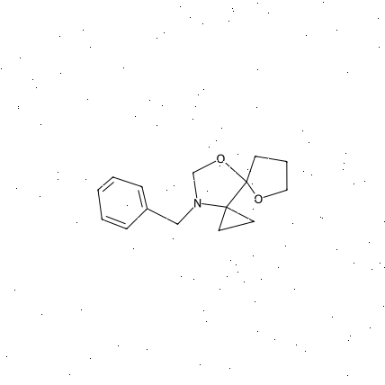 c1ccc(CN2COC3(CCCO3)C23CC3)cc1